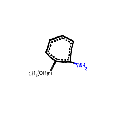 CN(O)c1ccccc1N